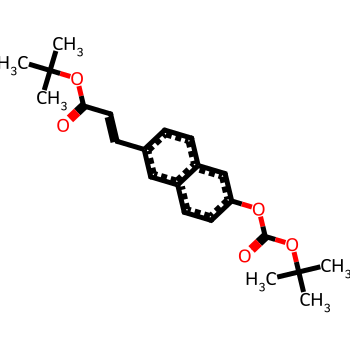 CC(C)(C)OC(=O)C=Cc1ccc2cc(OC(=O)OC(C)(C)C)ccc2c1